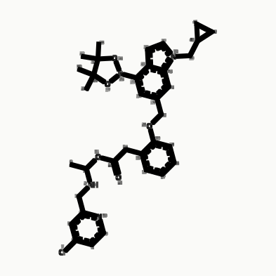 CC(NCc1cc(Cl)ccn1)OC(=O)Cc1ccccc1OCc1cc(B2OC(C)(C)C(C)(C)O2)c2ccn(CC3CC3)c2c1